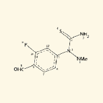 CNN(C(N)=S)c1ccc(C=O)c(F)c1